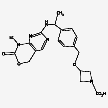 CCN1C(=O)OCc2cnc(NC(C)c3ccc(COC4CN(C(=O)O)C4)cc3)nc21